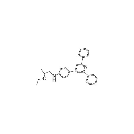 CCOC(C)CNc1ccc(-c2cc(-c3ccccc3)nc(-c3ccccc3)c2)cc1